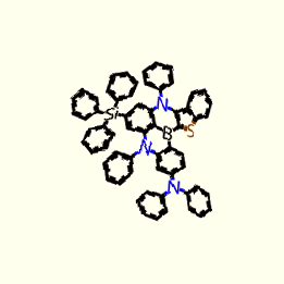 c1ccc(N(c2ccccc2)c2ccc3c(c2)N(c2ccccc2)c2cc([Si](c4ccccc4)(c4ccccc4)c4ccccc4)cc4c2B3c2sc3ccccc3c2N4c2ccccc2)cc1